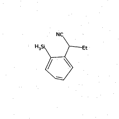 CCC(C#N)c1ccccc1[SiH3]